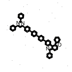 c1ccc(-c2cc(-c3ccc(-c4ccc(-c5ccc(-c6ccc7c(c6)nc(-c6ccccc6)c6ccc8oc9ccccc9c8c67)cc5)cc4)cc3)nc(-c3ccccc3)n2)cc1